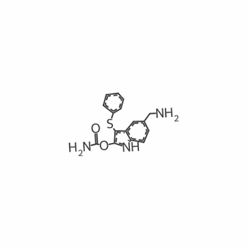 NCc1ccc2[nH]c(OC(N)=O)c(Sc3ccccc3)c2c1